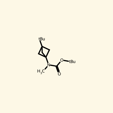 CN(C(=O)OC(C)(C)C)C12CC(C(C)(C)C)(C1)C2